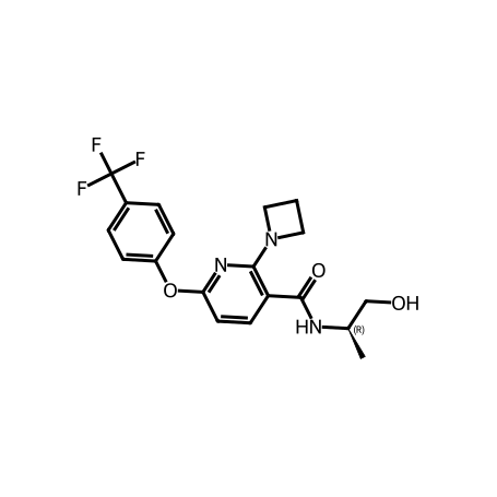 C[C@H](CO)NC(=O)c1ccc(Oc2ccc(C(F)(F)F)cc2)nc1N1CCC1